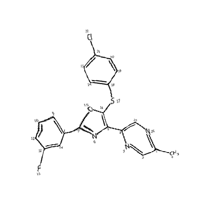 Cc1cnc(-c2nc(-c3cccc(F)c3)oc2Sc2ccc(Cl)cc2)cn1